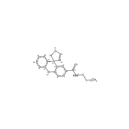 CCCNC(=O)c1ccc2c(c1)C1(COC=N1)c1ccccc1O2